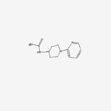 CC(C)(C)C(=O)NC1CCN(c2ccccn2)CC1